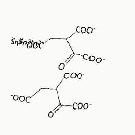 O=C([O-])CC(C(=O)[O-])C(=O)C(=O)[O-].O=C([O-])CC(C(=O)[O-])C(=O)C(=O)[O-].[Sn+2].[Sn+2].[Sn+2]